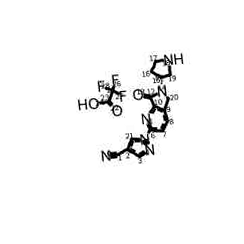 N#Cc1cnn(-c2ccc3c(n2)C(=O)N([C@@H]2CCNC2)C3)c1.O=C(O)C(F)(F)F